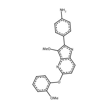 COc1ccccc1Oc1ccc2nc(-c3ccc(N)cc3)c(OC)n2n1